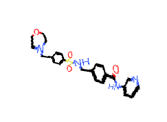 O=C(Nc1cccnc1)c1ccc(CNS(=O)(=O)c2ccc(CN3CCOCC3)cc2)cc1